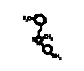 Cn1c(CCC2=CC(C(F)(F)F)=CCC#C2)nnc1C1CCC(N)CC1